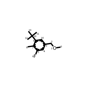 COCc1cc(F)c(C)c(C(C)(C)C)c1